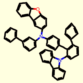 c1ccc(-c2cccc(N(c3ccc(-c4c(-c5ccccc5)cccc4-n4c5ccccc5c5ccccc54)cc3)c3ccc4oc5ccccc5c4c3)c2)cc1